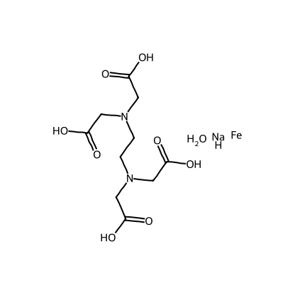 O.O=C(O)CN(CCN(CC(=O)O)CC(=O)O)CC(=O)O.[Fe].[NaH]